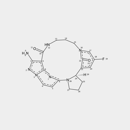 Nc1nn2ccc3nc2c1C(=O)NCCCn1cc(F)cc(c1=O)[C@H]1CCCN31